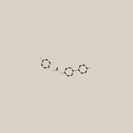 O=C(Nc1ccc(-c2ccc(O)cc2)cc1)Oc1ccc(Cl)cc1